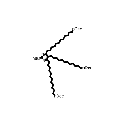 [CH2]CCCc1nc(CCCCCCCCCCCCCCCCCCCCCC)c(CCCCCCCCCCCCCCCCCCCCCC)c(CCCCCCCCCCCCCCCCCCCCCC)n1